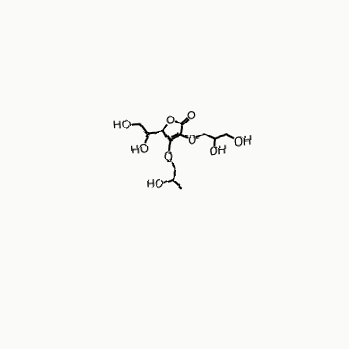 CC(O)COC1=C(OCC(O)CO)C(=O)OC1C(O)CO